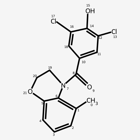 Cc1cccc2c1N(C(=O)c1cc(Cl)c(O)c(Cl)c1)CCO2